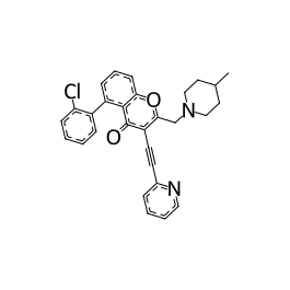 CC1CCN(Cc2oc3cccc(-c4ccccc4Cl)c3c(=O)c2C#Cc2ccccn2)CC1